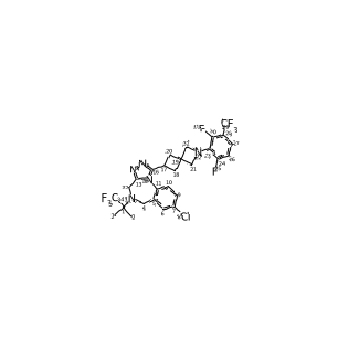 CC(C)(N1Cc2cc(Cl)ccc2-n2c(nnc2C2CC3(C2)CN(c2c(F)ccc(C(F)(F)F)c2F)C3)C1)C(F)(F)F